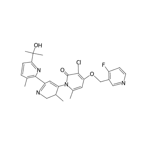 Cc1ccc(C(C)(C)O)nc1C1=NCC(C)C(n2c(C)cc(OCc3cnccc3F)c(Cl)c2=O)=C1